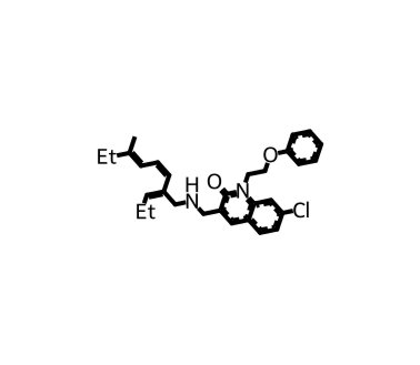 CC/C=C(/C=C\C=C(/C)CC)CNCc1cc2ccc(Cl)cc2n(CCOc2ccccc2)c1=O